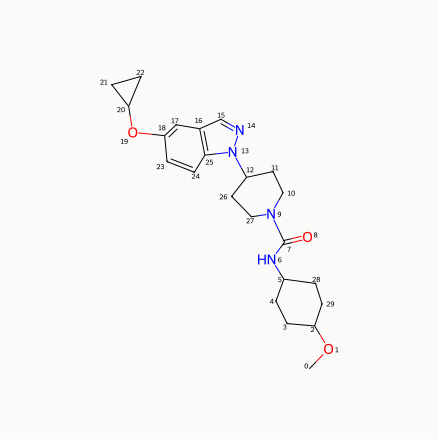 COC1CCC(NC(=O)N2CCC(n3ncc4cc(OC5CC5)ccc43)CC2)CC1